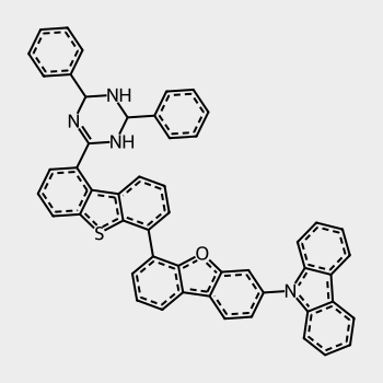 c1ccc(C2N=C(c3cccc4sc5c(-c6cccc7c6oc6cc(-n8c9ccccc9c9ccccc98)ccc67)cccc5c34)NC(c3ccccc3)N2)cc1